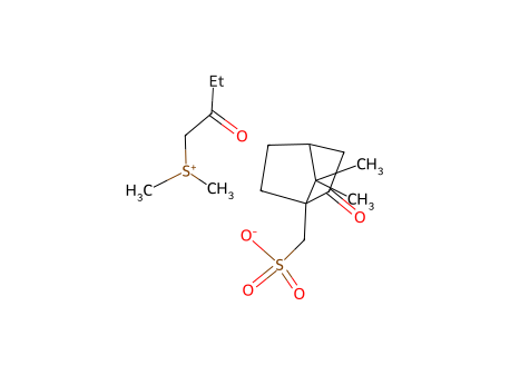 CC1(C)C2CCC1(CS(=O)(=O)[O-])C(=O)C2.CCC(=O)C[S+](C)C